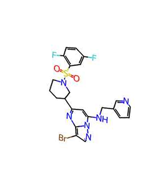 O=S(=O)(c1cc(F)ccc1F)N1CCCC(c2cc(NCc3cccnc3)n3ncc(Br)c3n2)C1